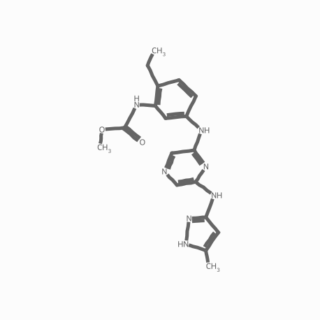 CCc1ccc(Nc2cncc(Nc3cc(C)[nH]n3)n2)cc1NC(=O)OC